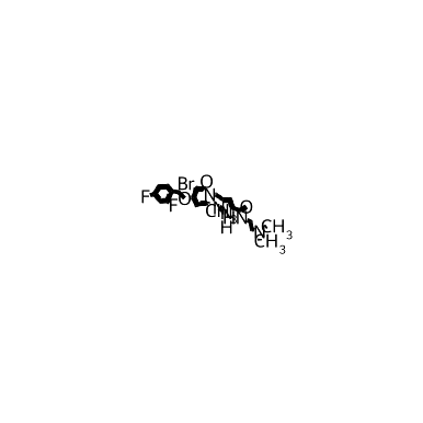 Cc1cc(OCc2ccc(F)cc2F)c(Br)c(=O)n1Cc1cc(C(=O)NCCN(C)C)[nH]n1